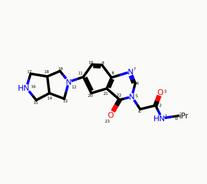 CC(C)NC(=O)Cn1cnc2ccc(N3CC4CNCC4C3)cc2c1=O